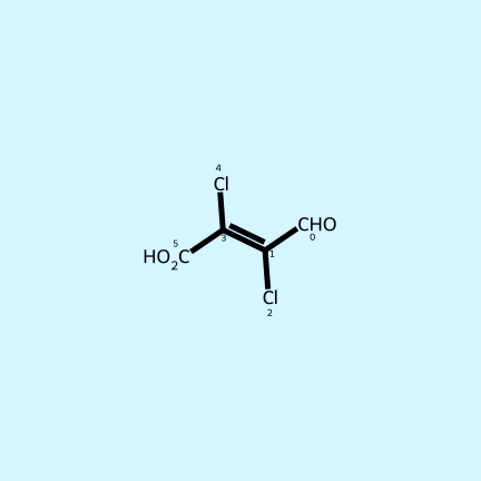 O=CC(Cl)=C(Cl)C(=O)O